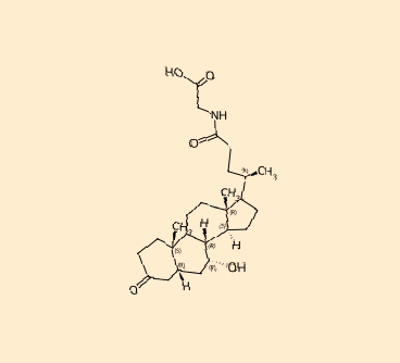 C[C@H](CCC(=O)NCC(=O)O)C1CC[C@H]2[C@H]3C(CC[C@]12C)[C@@]1(C)CCC(=O)C[C@H]1C[C@H]3O